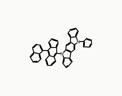 c1ccc(-n2c3ccccc3c3cc4c(cc32)c2ccccc2n4-c2c3ccccc3c(-c3cccc4ccccc34)c3ccccc23)cc1